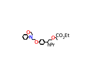 CCCC(CCOC(C)C(=O)OCC)c1ccc(OCCN2CCOc3ccccc32)cc1